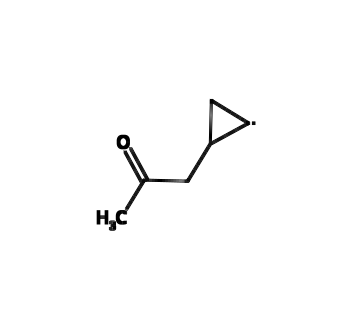 CC(=O)CC1[CH]C1